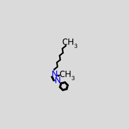 CCCCCCCCCN1C=CN(c2ccccc2)C1C